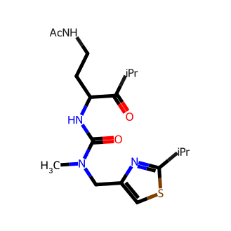 CC(=O)NCCC(NC(=O)N(C)Cc1csc(C(C)C)n1)C(=O)C(C)C